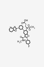 CNC(=O)c1c(-c2ccc(F)cc2)oc2cc(N(CCC(=O)O)S(C)(=O)=O)c(-c3cccc(-c4nc5ncccc5o4)c3)cc12